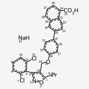 CC(C)c1onc(-c2c(Cl)cccc2Cl)c1COc1ccc(-c2ccc3c(C(=O)O)cccc3c2)cc1.[NaH]